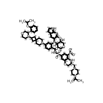 CC(C)Oc1ccccc1[C@@H]1COCCN1C1CC2(CCN(c3ccc(C(=O)NS(=O)(=O)c4cc5c(c([N+](=O)[O-])c4)N[C@@H](CN4CCN(C(C)C)CC4)CO5)c(N4c5cc6cc[nH]c6nc5O[C@H]5COCC[C@@H]54)c3)CC2)C1